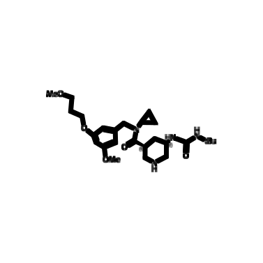 COCCCOc1cc(CN(C(=O)[C@@H]2CNC[C@H](NC(=O)NC(C)(C)C)C2)C2CC2)cc(OC)c1